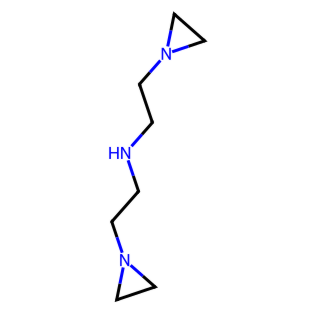 C(CN1CC1)NCCN1CC1